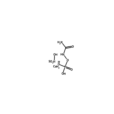 NC(=O)NOP(=O)(O)O.O=S(=O)(O)O.[CaH2]